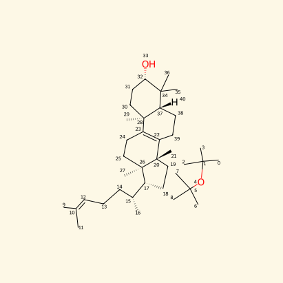 CC(C)(C)OC(C)(C)C.CC(C)=CCC[C@@H](C)[C@H]1CC[C@@]2(C)C3=C(CC[C@]12C)[C@@]1(C)CC[C@H](O)C(C)(C)[C@@H]1CC3